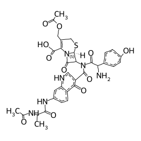 CC(=O)NC(C)C(=O)Nc1ccc2c(=O)c(C(=O)N(C(=O)C(N)c3ccc(O)cc3)C3C(=O)N4C(C(=O)O)=C(COC(C)=O)CS[C@@H]34)c[nH]c2c1